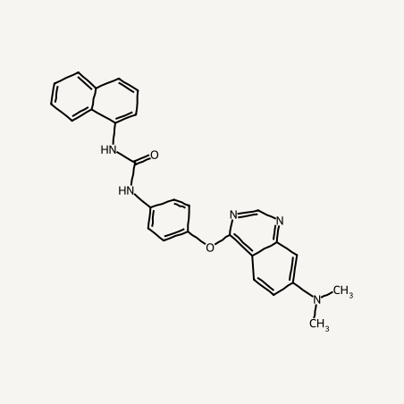 CN(C)c1ccc2c(Oc3ccc(NC(=O)Nc4cccc5ccccc45)cc3)ncnc2c1